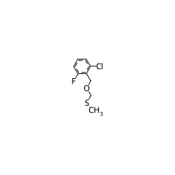 CSCOCc1c(F)cccc1Cl